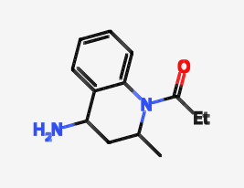 CCC(=O)N1c2ccccc2C(N)CC1C